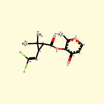 Cc1occc(=O)c1OC(=O)C1C(C=C(F)F)C1(C)C